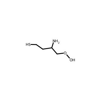 NC(CCS)COO